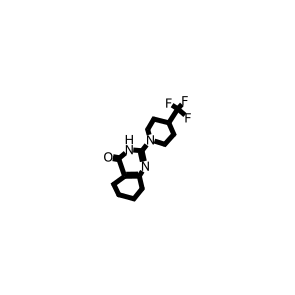 O=c1[nH]c(N2CCC(C(F)(F)F)CC2)nc2c1CCCC2